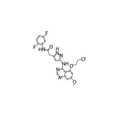 COc1cc(OCCCl)c2c(Nc3cc(CC(=O)Nc4cc(F)ccc4F)[nH]n3)ncnc2c1